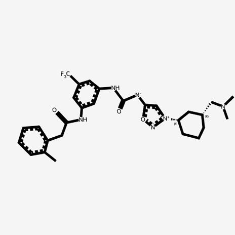 Cc1ccccc1CC(=O)Nc1cc(NC(=O)[N-]c2c[n+]([C@H]3CCC[C@@H](CN(C)C)C3)no2)cc(C(F)(F)F)c1